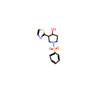 O=S(=O)(c1ccccc1)N1CCC(O)C(c2nccs2)C1